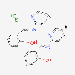 Cl.Cl.Oc1ccccc1C=Nc1ccccn1.Oc1ccccc1C=Nc1ccccn1.[Ti]